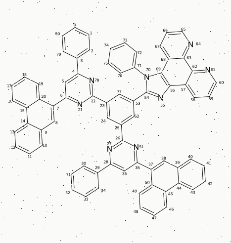 c1ccc(-c2cc(-c3cc4ccccc4c4ccccc34)nc(-c3cc(-c4nc(-c5ccccc5)cc(-c5cc6ccccc6c6ccccc56)n4)cc(-c4nc5c6cccnc6c6ncccc6c5n4-c4ccccc4)c3)n2)cc1